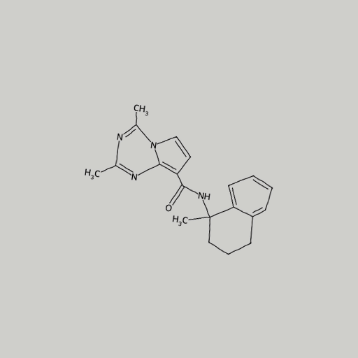 Cc1nc(C)n2ccc(C(=O)NC3(C)CCCc4ccccc43)c2n1